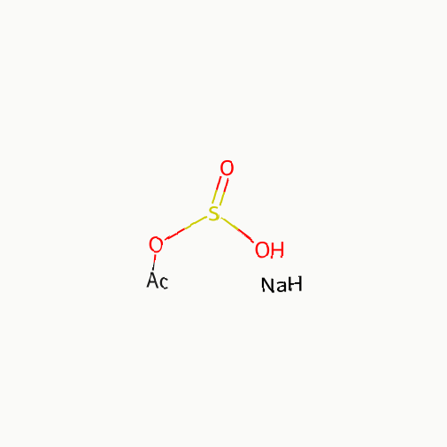 CC(=O)OS(=O)O.[NaH]